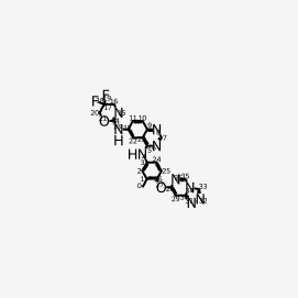 Cc1cc(Nc2ncnc3ccc(NC4=NCC(F)(F)CO4)cc23)ccc1Oc1cc2nncn2cn1